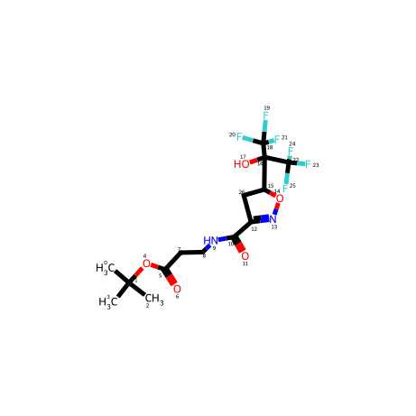 CC(C)(C)OC(=O)CCNC(=O)C1=NOC(C(O)(C(F)(F)F)C(F)(F)F)C1